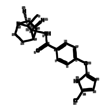 C[C@H]1[C@H](NC(=O)c2ccc(Oc3ccc(Cl)[nH]3)cc2)C2CCN1CC2